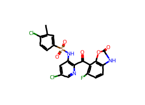 Cc1cc(S(=O)(=O)Nc2cc(Cl)cnc2C(=O)c2c(F)ccc3[nH]c(=O)oc23)ccc1Cl